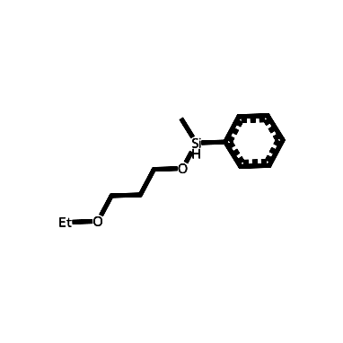 CCOCCCO[SiH](C)c1ccccc1